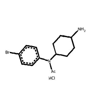 CC(=O)N(c1ccc(Br)cc1)C1CCC(N)CC1.Cl